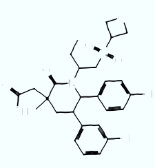 CCC(CS(=O)(=O)C1COC1)N1C(=O)C(C)(CC(=O)O)CC(c2cccc(Cl)c2)C1c1ccc(Cl)cc1